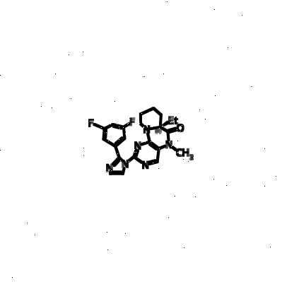 CC[C@]12CCCCN1c1nc(-n3ccnc3-c3cc(F)cc(F)c3)ncc1N(C)C2=O